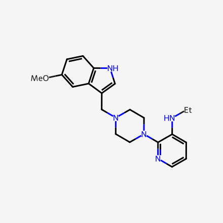 CCNc1cccnc1N1CCN(Cc2c[nH]c3ccc(OC)cc23)CC1